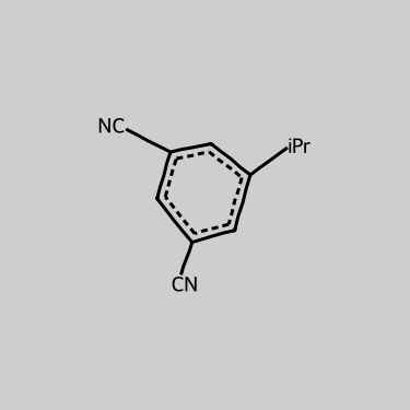 [CH2]C(C)c1cc(C#N)cc(C#N)c1